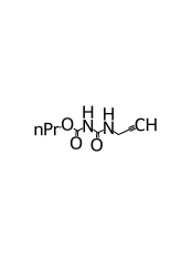 C#CCNC(=O)NC(=O)OCCC